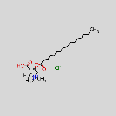 CCCCCCCCCCCCCCCC(=O)O[C@@H](CC(=O)O)C[N+](C)(C)C.[Cl-]